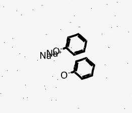 [Na+].[Na+].[O-]c1ccccc1.[O-]c1ccccc1